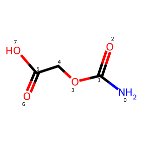 NC(=O)OCC(=O)O